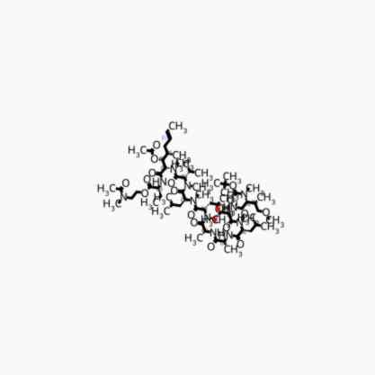 C/C=C/C[C@@H](C)[C@@H](OC(C)=O)[C@@H](C(=O)N[C@@H](CC)C(=O)OCCN(C)C(C)=O)N(C)C(=O)[C@H](C(C)C)N(C)C(=O)[C@H](CC(C)C)N(C)C(=O)[C@H](CC(C)C)N(C)C(=O)[C@@H](C)NC(=O)[C@H](C)NC(=O)[C@H](CC(C)C)N(C)C(=O)[C@@H](NC(=O)[C@H]([C@@H](C)COC)N(C)C(=O)OC(C)(C)C)C(C)C